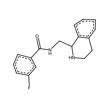 O=C(NCC1NCCc2ccccc21)c1cccc(F)c1